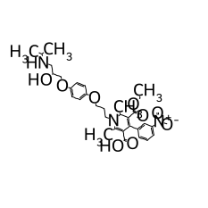 CCOC(=O)C1=C(c2cccc([N+](=O)[O-])c2)C(C(=O)O)=C(C)N(CCCOc2ccc(OCC(O)CNC(C)C)cc2)C1C